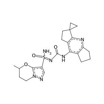 CC1CCn2ncc(S(N)(=O)=NC(=O)Nc3c4c(nc5c3CCC53CC3)CCC4)c2O1